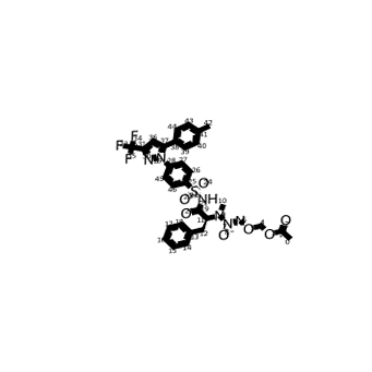 CC(=O)OCON=[N+]([O-])N(C)[C@@H](Cc1ccccc1)C(=O)NS(=O)(=O)c1ccc(-n2nc(C(F)(F)F)cc2-c2ccc(C)cc2)cc1